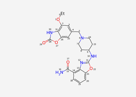 CCOc1cc(CN2CCC(Nc3nc4c(C(N)=O)[c]ccc4o3)CC2)cc2oc(=O)[nH]c12